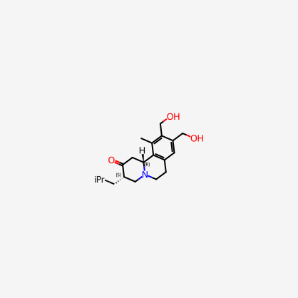 Cc1c(CO)c(CO)cc2c1[C@H]1CC(=O)[C@@H](CC(C)C)CN1CC2